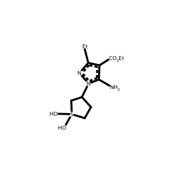 CCOC(=O)c1c(CC)nn(C2CCS(O)(O)C2)c1N